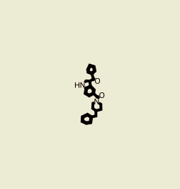 O=C(c1ccccc1)C1CNc2ccc(C(=O)N3CCC(Cc4ccccc4)CC3)cc21